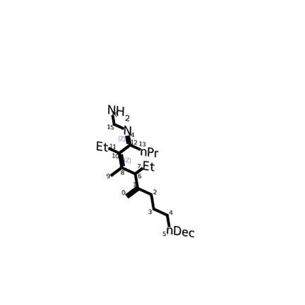 C=C(CCCCCCCCCCCCC)C(CC)/C(C)=C(CC)\C(CCC)=N/CN